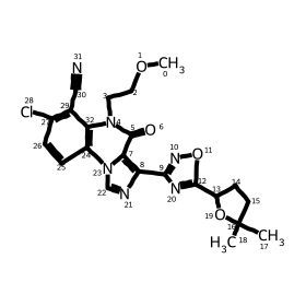 COCCn1c(=O)c2c(-c3noc(C4CCC(C)(C)O4)n3)ncn2c2ccc(Cl)c(C#N)c21